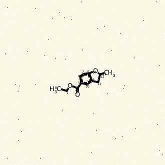 CCOC(=O)c1ccc2c(c1)CC(C)O2